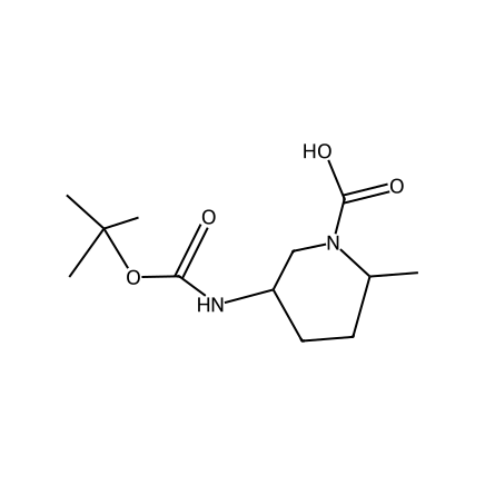 CC1CCC(NC(=O)OC(C)(C)C)CN1C(=O)O